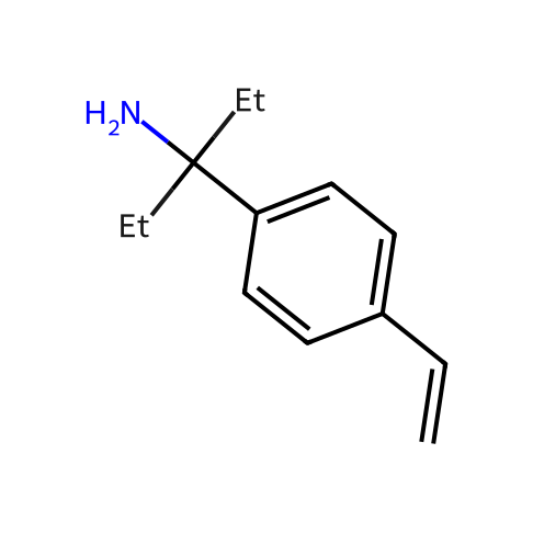 C=Cc1ccc(C(N)(CC)CC)cc1